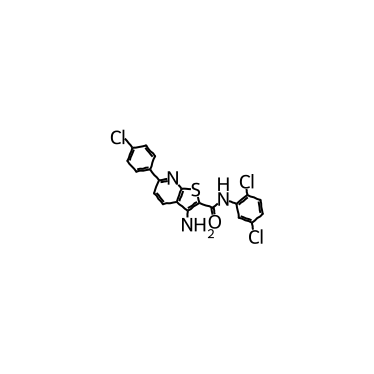 Nc1c(C(=O)Nc2cc(Cl)ccc2Cl)sc2nc(-c3ccc(Cl)cc3)ccc12